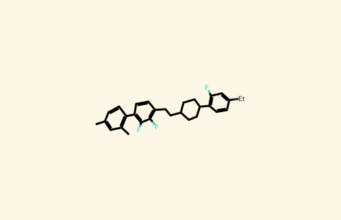 CCc1ccc(C2CCC(CCc3ccc(-c4ccc(C)cc4C)c(F)c3F)CC2)c(F)c1